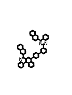 c1cc(-c2ccc(-c3cc4c(-c5ccc6ccccc6c5)nc5ccccc5c4c4ccccc34)cc2)cc(-c2nc(-c3ccc4ccccc4c3)c3ccccc3n2)c1